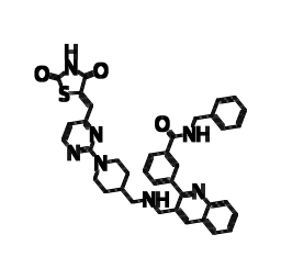 O=C1NC(=O)/C(=C/c2ccnc(N3CCC(CNCc4cc5ccccc5nc4-c4cccc(C(=O)NCc5ccccc5)c4)CC3)n2)S1